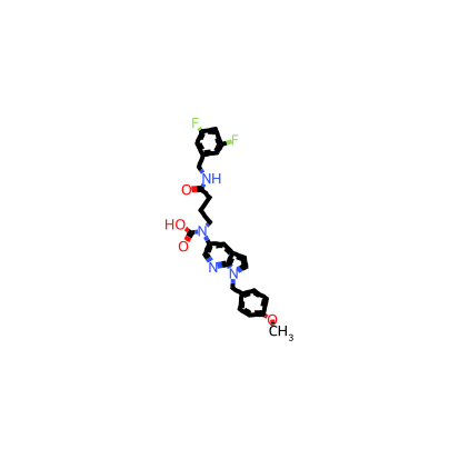 COc1ccc(Cn2ccc3cc(N(CCCC(=O)NCc4cc(F)cc(F)c4)C(=O)O)cnc32)cc1